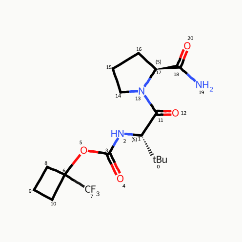 CC(C)(C)[C@H](NC(=O)OC1(C(F)(F)F)CCC1)C(=O)N1CCC[C@H]1C(N)=O